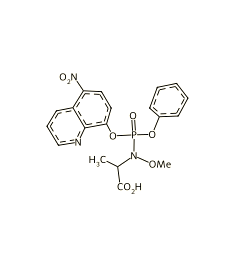 CON(C(C)C(=O)O)P(=O)(Oc1ccccc1)Oc1ccc([N+](=O)[O-])c2cccnc12